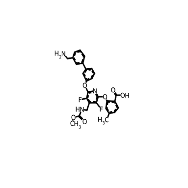 COC(=O)NCc1c(F)c(Oc2cccc(-c3cccc(CN)c3)c2)nc(Oc2cc(C)ccc2C(=O)O)c1F